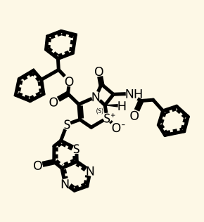 O=C(Cc1ccccc1)NC1C(=O)N2C(C(=O)OC(c3ccccc3)c3ccccc3)=C(Sc3cc(=O)c4nccnc4s3)C[S+]([O-])[C@@H]12